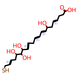 O=C(O)CC/C=C/CC(O)/C=C/C=C/C/C=C/C(O)C(O)C(O)C/C=C/CS